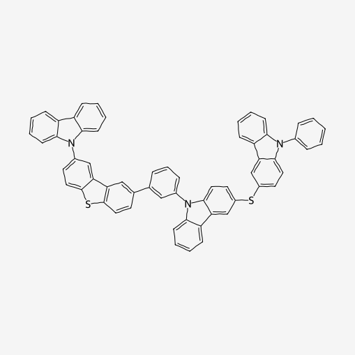 c1ccc(-n2c3ccccc3c3cc(Sc4ccc5c(c4)c4ccccc4n5-c4cccc(-c5ccc6sc7ccc(-n8c9ccccc9c9ccccc98)cc7c6c5)c4)ccc32)cc1